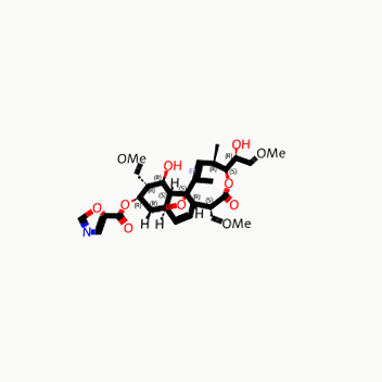 COC[C@@H]1[C@@H](O)[C@@H]2[C@H]3C=C[C@@H]4[C@@H](COC)C(=O)O[C@H]([C@H](O)COC)[C@H](C)/C=C(\C)[C@@]24O[C@H]3[C@@H]1OC(=O)c1cnco1